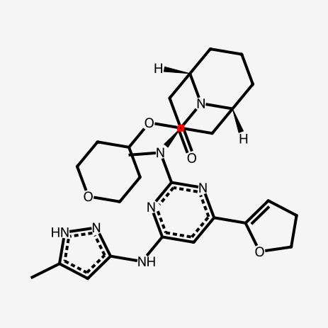 Cc1cc(Nc2cc(C3=CCCO3)nc(N(C)[C@@H]3C[C@H]4CCC[C@@H](C3)N4C(=O)OC3CCOCC3)n2)n[nH]1